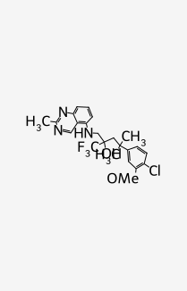 COc1cc(C(C)(C)CC(O)(CNc2cccc3nc(C)ncc23)C(F)(F)F)ccc1Cl